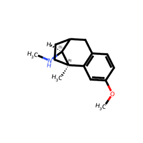 CN[C@H]1C2CC[C@]1(C)c1cc(OC)ccc1C2